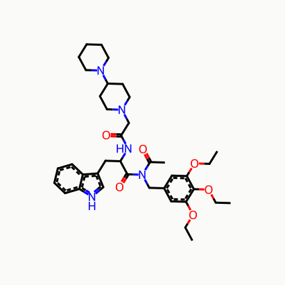 CCOc1cc(CN(C(C)=O)C(=O)C(Cc2c[nH]c3ccccc23)NC(=O)CN2CCC(N3CCCCC3)CC2)cc(OCC)c1OCC